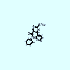 CSc1ncc2c(=O)n(C3=CCCC=C3)c3ncccc3c2n1